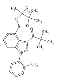 Cc1ccccc1-n1cc(C(=O)C(C)(C)C)c2c(B3OC(C)(C)C(C)(C)O3)cccc21